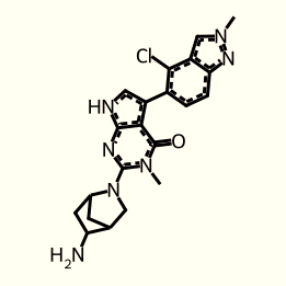 Cn1cc2c(Cl)c(-c3c[nH]c4nc(N5CC6CC5CC6N)n(C)c(=O)c34)ccc2n1